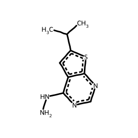 CC(C)c1cc2c(NN)ncnc2s1